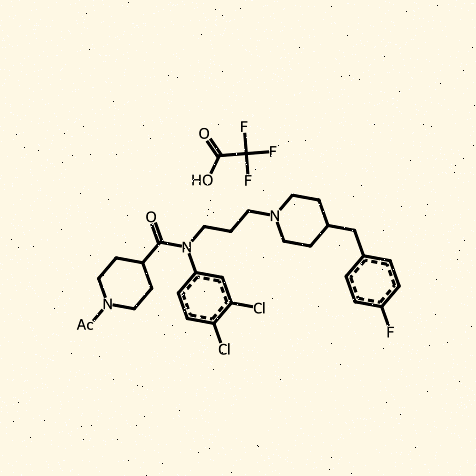 CC(=O)N1CCC(C(=O)N(CCCN2CCC(Cc3ccc(F)cc3)CC2)c2ccc(Cl)c(Cl)c2)CC1.O=C(O)C(F)(F)F